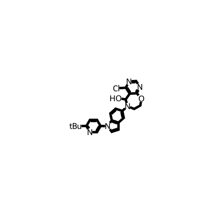 CC(C)(C)c1ccc(-n2ccc3cc(N4CCOc5ncnc(Cl)c5C4O)ccc32)cn1